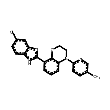 Cc1ccc(N2CCOc3c(-c4nc5cc(Cl)ccc5[nH]4)cccc32)nc1